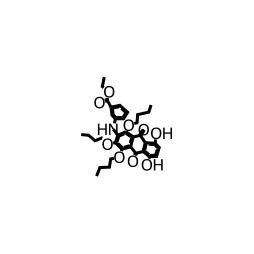 CCCCOc1c(Nc2cccc(C(=O)OCC)c2)c(OCCCC)c2c(c1OCCCC)C(=O)c1c(O)ccc(O)c1C2=O